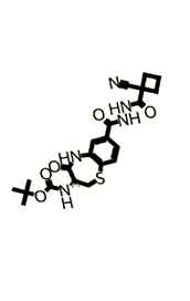 CC(C)(C)OC(=O)N[C@H]1CSc2ccc(C(=O)NNC(=O)C3(C#N)CCC3)cc2NC1=O